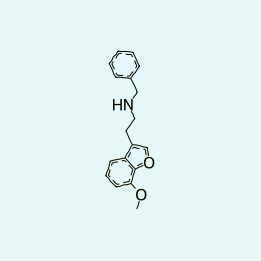 COc1cccc2c(CCNCc3ccccc3)coc12